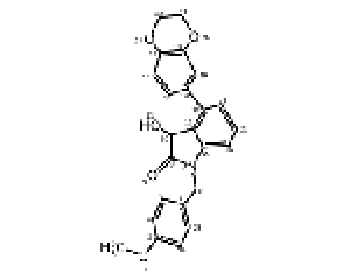 COc1ccc(CN2C(=O)C(O)c3c(-c4ccc5c(c4)OCCO5)cccc32)cc1